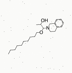 CCCCCCCCCCOC(C(C)O)N1CCc2ccccc2C1